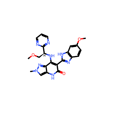 COC[C@H](Nc1c(-c2nc3ccc(OC)cc3[nH]2)c(=O)[nH]c2cn(C)nc12)c1ncccn1